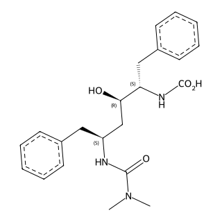 CN(C)C(=O)N[C@@H](Cc1ccccc1)C[C@@H](O)[C@H](Cc1ccccc1)NC(=O)O